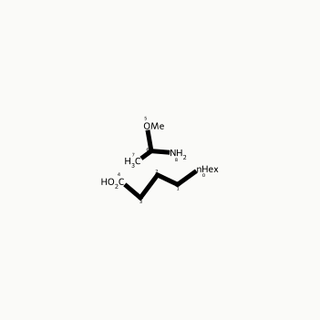 CCCCCCCCCC(=O)O.COC(C)N